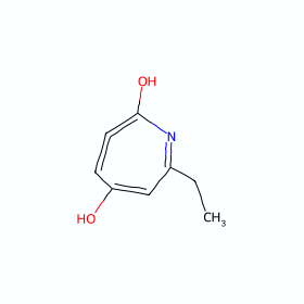 CCC1=NC(O)=C=CC(O)=C1